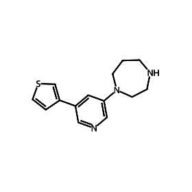 c1cc(-c2cncc(N3CCCNCC3)c2)cs1